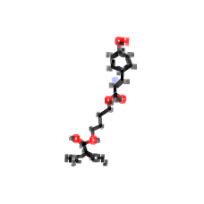 C=C(C)C(=O)OCCCCOC(=O)/C=C/c1ccc(O)cc1